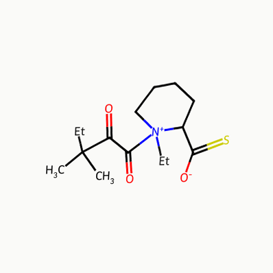 CCC(C)(C)C(=O)C(=O)[N+]1(CC)CCCCC1C([O-])=S